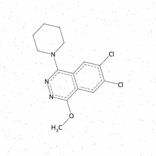 COc1nnc(N2CCCCC2)c2cc(Cl)c(Cl)cc12